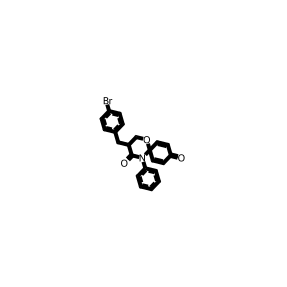 O=C1C=CC2(C=C1)OCC(Cc1ccc(Br)cc1)C(=O)N2c1ccccc1